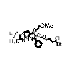 CCC(Cl)CCCOCO[C@@H]1[C@@H](c2ccccc2)Nc2c(ccn3c(C)c(C)nc23)[C@H]1OCCOC